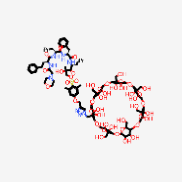 Cc1cc(OCc2cn(CC3OC4OC5C(CO)OC(OC6C(CO)OC(OC7C(CO)OC(OC8C(CO)OC(OC9C(CO)OC(OC%10C(CO)OC(OC3C(O)C4O)C(O)C%10O)C(O)C9O)C(O)C8O)C(O)C7O)C(O)C6O)C(O)C5O)nn2)cc(C)c1S(=O)(=O)OCC(C)(O)C(=O)[C@H](CC(C)C)NC(=O)[C@H](Cc1ccccc1)NC(=O)[C@H](CC(C)C)NC(=O)[C@H](CCc1ccccc1)NC(=O)CN1CCOCC1